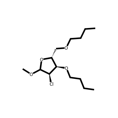 CCCCOC[C@H]1OC(OC)[C@H](Cl)[C@@H]1OCCCC